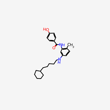 Cc1ccc(NCCCCCC2CCCCC2)cc1NC(=O)c1ccc(O)cc1